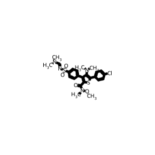 CON(C)C(=O)c1sc(-c2ccc(Cl)cc2)c(N(C)C)c1-c1ccc(S(=O)(=O)/N=C/N(C)C)cc1